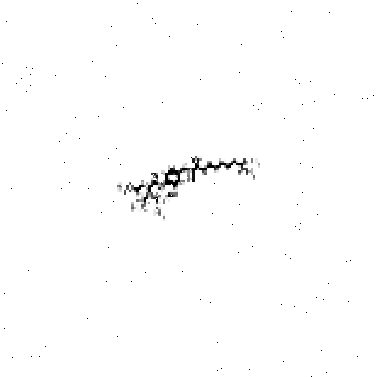 CCN(CC)[C@H](CC(C)C)C(=O)Oc1ccc(CNC(=O)CCCCCCC(C)C)cc1OC